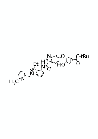 CCc1nn(Cc2cccc(C)n2)c2cccc(NC(=O)c3cnc4cc(OC5CN(C(=O)OC(C)(C)C)CC5O)ccn34)c12